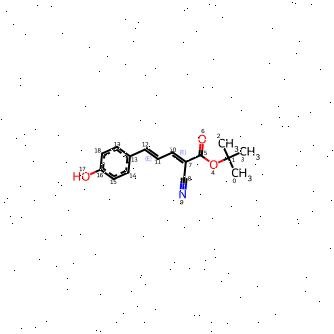 CC(C)(C)OC(=O)/C(C#N)=C/C=C/c1ccc(O)cc1